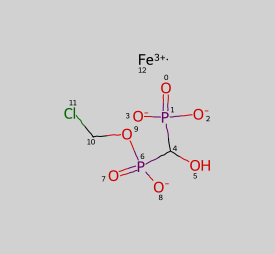 O=P([O-])([O-])C(O)P(=O)([O-])OCCl.[Fe+3]